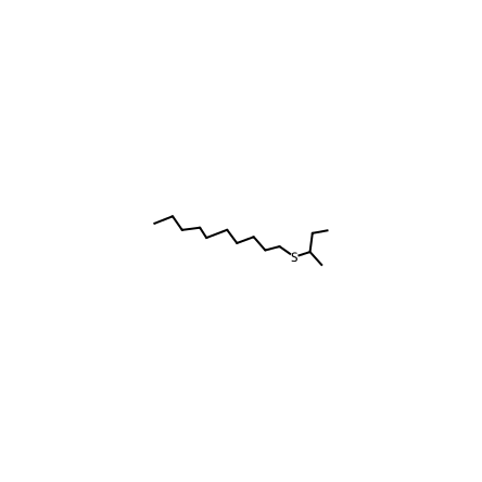 CCCCCCCCCCSC(C)CC